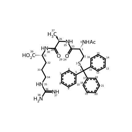 CC(=O)N[C@H](CSC(c1ccccc1)(c1ccccc1)c1ccccc1)C(=O)N[C@H](C)C(=O)N[C@H](CCCNC(=N)N)C(=O)O